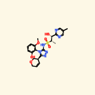 COc1cccc(O)c1-n1c(NS(=O)(=O)[C@@H](C)[C@H](O)c2ncc(C)cn2)nnc1[C@H]1C=CCOC1